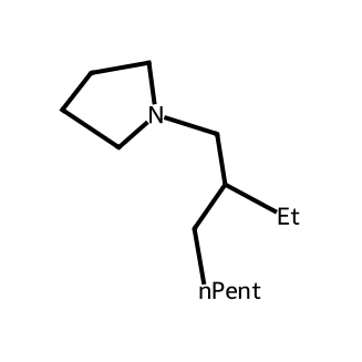 CCCCCCC(CC)CN1CCCC1